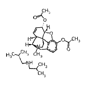 CC(=O)Oc1ccc2c3c1O[C@H]1[C@@H](OC(C)=O)C=C[C@H]4[C@@H](C2)N(C)CC[C@@]341.CC(C)CNCC(C)C